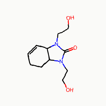 O=C1N(CCO)C2C=CCCC2N1CCO